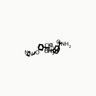 CC(C)(C(=O)NC1C2CC3CC1CC(C(N)=O)(C3)C2)c1cccc(OCCn2ccnc2)c1